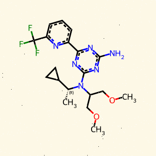 COCC(COC)N(c1nc(N)nc(-c2cccc(C(F)(F)F)n2)n1)[C@H](C)C1CC1